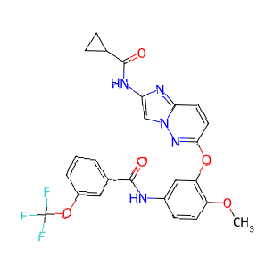 COc1ccc(NC(=O)c2cccc(OC(F)(F)F)c2)cc1Oc1ccc2nc(NC(=O)C3CC3)cn2n1